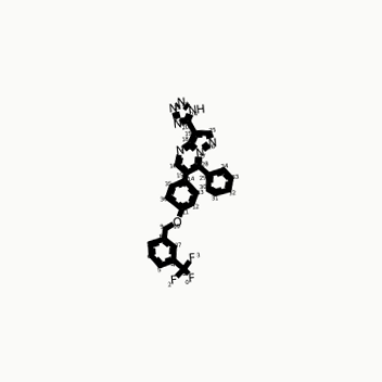 FC(F)(F)c1cccc(COc2ccc(-c3cnc4c(-c5nnn[nH]5)cnn4c3-c3ccccc3)cc2)c1